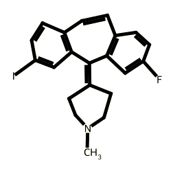 CN1CCC(=C2c3cc(F)ccc3C=Cc3ccc(I)cc32)CC1